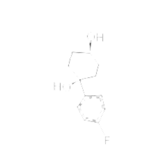 O[C@H]1CC[C@](O)(c2ccc(F)cc2)CC1